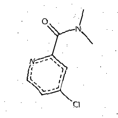 CN(C)C(=O)c1cc(Cl)ccn1